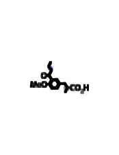 C/C=C/C(=O)c1cc(C[C@H](C)C(=O)O)ccc1OC